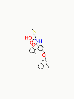 CCCCC(COCc1ccc(C(=O)NC(CCSC)C(=O)O)c(-c2ccccc2C)c1)CC1CCCCC1